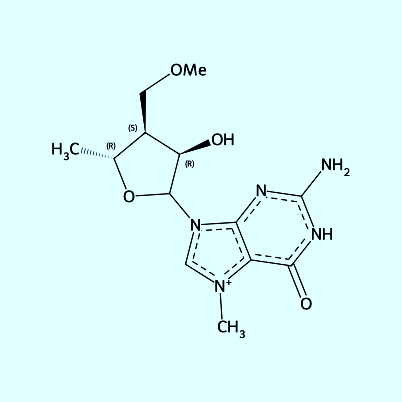 COC[C@@H]1[C@@H](C)OC(n2c[n+](C)c3c(=O)[nH]c(N)nc32)[C@@H]1O